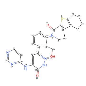 O=C1c2sc3c(c2CCN1c1cccc(-c2cc(Nc4ccncn4)c(=O)[nH]n2)c1CO)CCCC3